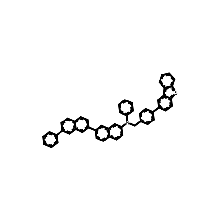 c1ccc(-c2ccc3ccc(-c4ccc5ccc(N(Cc6ccc(-c7ccc8sc9ccccc9c8c7)cc6)c6ccccc6)cc5c4)cc3c2)cc1